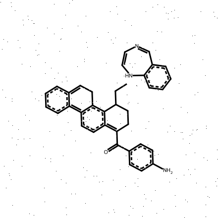 C1=CNc2ccccc2C=N1.CCC1CCC(C(=O)c2ccc(N)cc2)=c2ccc3c(c21)CC=c1ccccc1=3